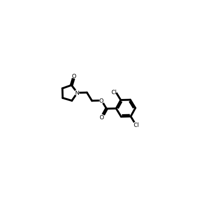 O=C(OCCN1CCCC1=O)c1cc(Cl)ccc1Cl